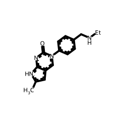 CCNCc1ccc(-n2cc3cc(C)[nH]c3nc2=O)cc1